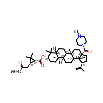 C=C(C)[C@@H]1CC[C@]2(C(=O)N3CCN(CC)CC3)CC[C@]3(C)[C@H](CC[C@@H]4[C@@]5(C)CC[C@H](OC(=O)[C@H]6[C@@H](CC(=O)OC)C6(C)C)C(C)(C)[C@@H]5CC[C@]43C)[C@@H]12